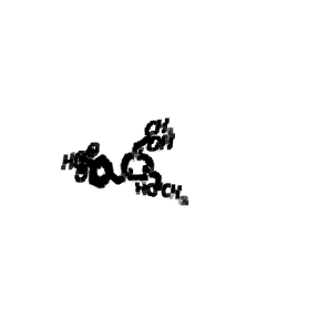 C[C@H](O)CN1CCN(Cc2ccc(S(=O)(=O)O)cc2)CCN(C[C@H](C)O)CC1